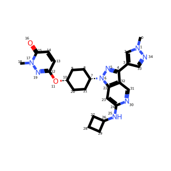 Cn1cc(-c2nn([C@H]3CC[C@@H](Oc4ccc(=O)n(C)n4)CC3)c3cc(NC4CCC4)ncc23)cn1